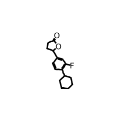 O=C1CCC(c2ccc(C3CCCCC3)c(F)c2)O1